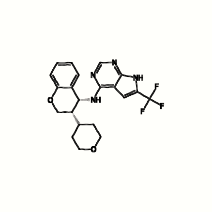 FC(F)(F)c1cc2c(N[C@H]3c4ccccc4OC[C@H]3C3CCOCC3)ncnc2[nH]1